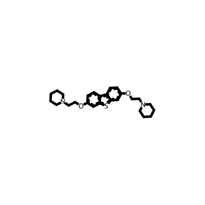 c1cc2c(cc1OCCN1CCCCC1)sc1cc(OCCN3CCCCC3)ccc12